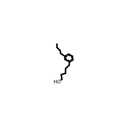 CCCCc1cccc(CCCCCO)c1